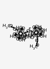 COCCOCCO[C@@H]1[C@@H](OP(=O)(O)O)[C@H](OCC(F)(F)OCCO[C@@H]2[C@@H](OP(=O)(O)O)[C@H](OCCOCCOC)[C@@H](OP(=O)(O)O)[C@@H](OP(=O)(O)O)[C@H]2OP(=O)(O)O)[C@@H](OP(=O)(O)O)[C@H](OP(=O)(O)O)[C@H]1OP(=O)(O)O